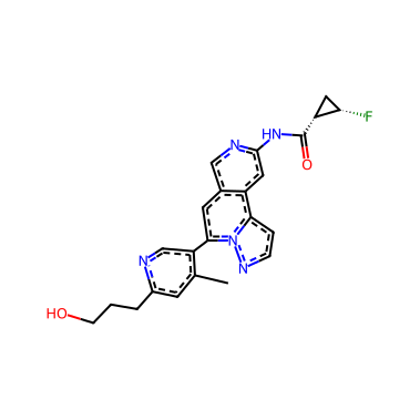 Cc1cc(CCCO)ncc1-c1cc2cnc(NC(=O)[C@@H]3C[C@@H]3F)cc2c2ccnn12